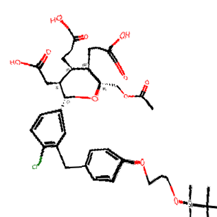 CC(=O)OC[C@@H]1O[C@H](c2ccc(Cl)c(Cc3ccc(OCCO[Si](C)(C)C(C)(C)C)cc3)c2)[C@@H](CC(=O)O)[C@@H](CC(=O)O)[C@H]1CC(=O)O